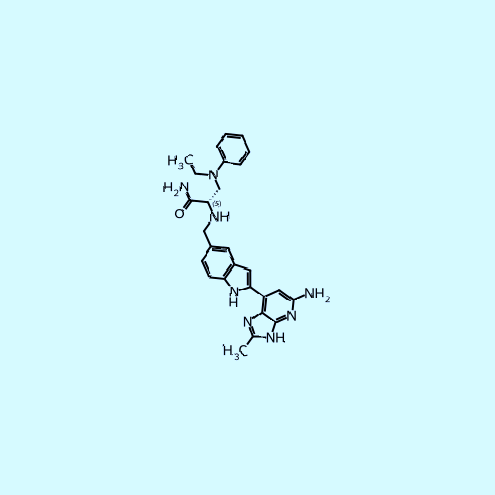 CCN(C[C@H](NCc1ccc2[nH]c(-c3cc(N)nc4[nH]c(C)nc34)cc2c1)C(N)=O)c1ccccc1